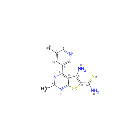 CCc1cncc(-c2nc(C)nc3sc(C(N)=S)c(N)c23)c1